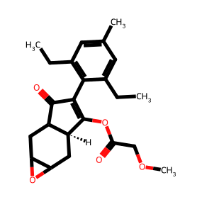 CCc1cc(C)cc(CC)c1C1=C(OC(=O)COC)[C@H]2CC3OC3CC2C1=O